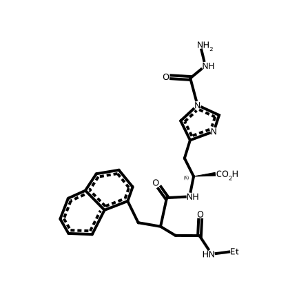 CCNC(=O)CC(Cc1cccc2ccccc12)C(=O)N[C@@H](Cc1cn(C(=O)NN)cn1)C(=O)O